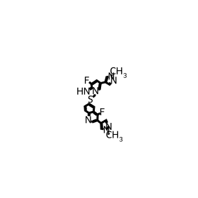 Cn1cc(-c2cc(F)c(=N)n(CSc3ccc4ncc(-c5cnn(C)c5)c(F)c4c3)c2)cn1